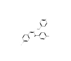 O=C(/C(=C\c1ccc(Br)cc1)SCc1ccc(Cl)cc1)c1ccc(Cl)cc1